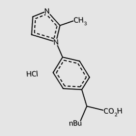 CCCCC(C(=O)O)c1ccc(-n2ccnc2C)cc1.Cl